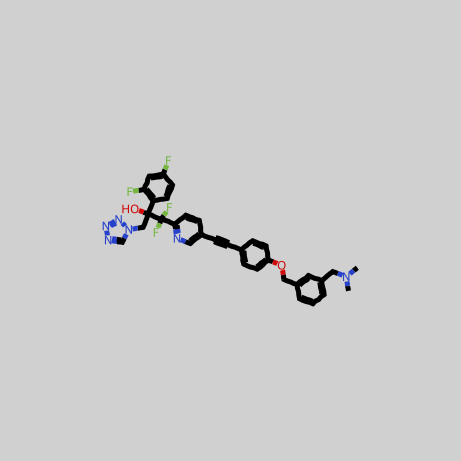 CN(C)Cc1cccc(COc2ccc(C#Cc3ccc(C(F)(F)C(O)(Cn4cnnn4)c4ccc(F)cc4F)nc3)cc2)c1